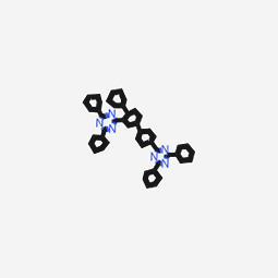 c1ccc(-c2nc(-c3ccccc3)nc(-c3ccc(-c4ccc(-c5ccccc5)c(-c5nc(-c6ccccc6)nc(-c6ccccc6)n5)c4)cc3)n2)cc1